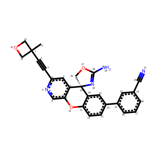 CC1(C#Cc2cc3c(cn2)Oc2ccc(-c4cccc(C#N)c4)cc2[C@@]32COC(N)=N2)COC1